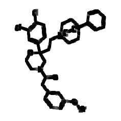 CC(C)Oc1cccc(CC(=O)N2CCOC(CC[N+]34CCC(c5ccccc5)(CC3)CC4)(c3ccc(Cl)c(Cl)c3)C2)c1